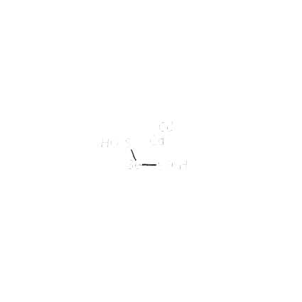 O=S(=O)(O)[Se]S(=O)(=O)O.[Cd].[Cd]